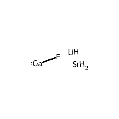 [F][Ga].[LiH].[SrH2]